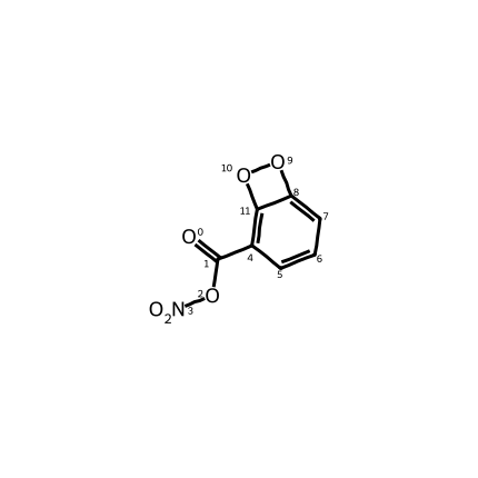 O=C(O[N+](=O)[O-])c1cccc2ooc12